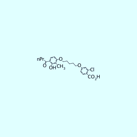 CCCC(=O)c1ccc(OCCCCCOc2ccc(C(=O)O)c(Cl)c2)c(C)c1O